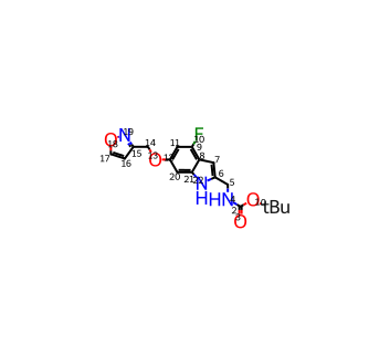 CC(C)(C)OC(=O)NCc1cc2c(F)cc(OCc3ccon3)cc2[nH]1